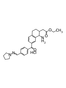 CCOC(=O)CC1CCc2ccc(C(=O)c3ccc(C=NN4CCCC4)cc3)cc2C1N.Cl